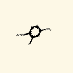 CC(=O)Nc1ccc([N+](=O)[O-])cc1C